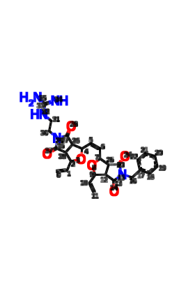 C=CC1OC(/C=C\C2OC(C=C)C3C(=O)N(Cc4ccccc4)C(=O)C23)C2C(=O)N(CCNC(=N)N)C(=O)C12